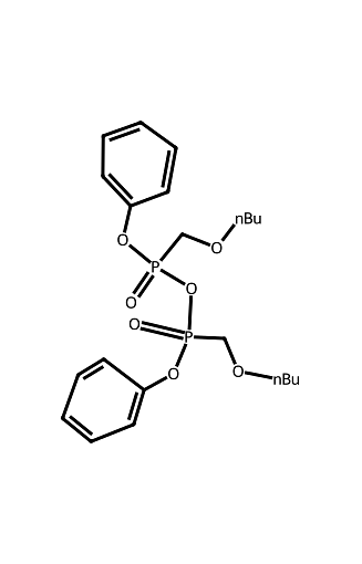 CCCCOCP(=O)(Oc1ccccc1)OP(=O)(COCCCC)Oc1ccccc1